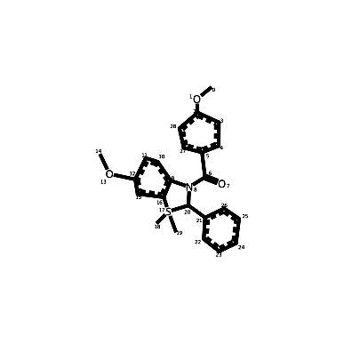 COc1ccc(C(=O)N2c3ccc(OC)cc3S(C)(C)C2c2ccccc2)cc1